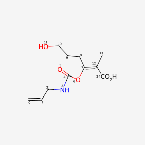 C=CCNC(=O)OC(CCCO)=C(C)C(=O)O